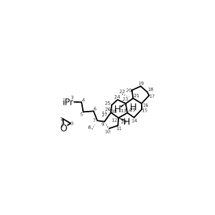 C1CO1.CC(C)CCC[C@@H](C)[C@H]1CC[C@H]2[C@@H]3CCC4CCCC[C@]4(C)[C@H]3CC[C@]12C